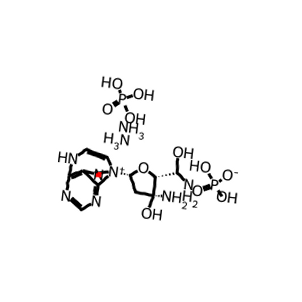 N.N.NC(O)[C@H]1O[C@@H]([N+]23C=CNc4ncnc2c4N=C3)C[C@]1(N)O.O=P(O)(O)O.O=P([O-])(O)O